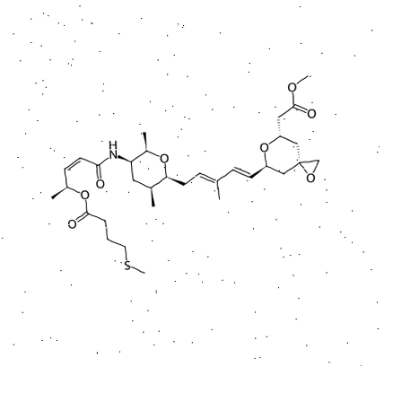 COC(=O)C[C@@H]1C[C@@]2(CO2)C[C@@H](/C=C/C(C)=C/C[C@@H]2O[C@H](C)[C@H](NC(=O)/C=C\[C@H](C)OC(=O)CCCSC)C[C@@H]2C)O1